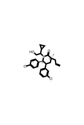 C=CC[C@@]1(C)CC(c2cccc(Cl)c2)[C@@H](c2ccc(Cl)cc2)N(C(CO)C2CC2)C1=O